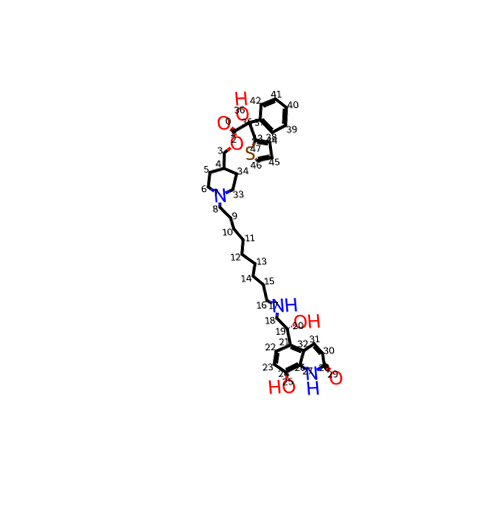 O=C(OCC1CCN(CCCCCCCCCNC[C@H](O)c2ccc(O)c3[nH]c(=O)ccc23)CC1)C(O)(c1ccccc1)c1cccs1